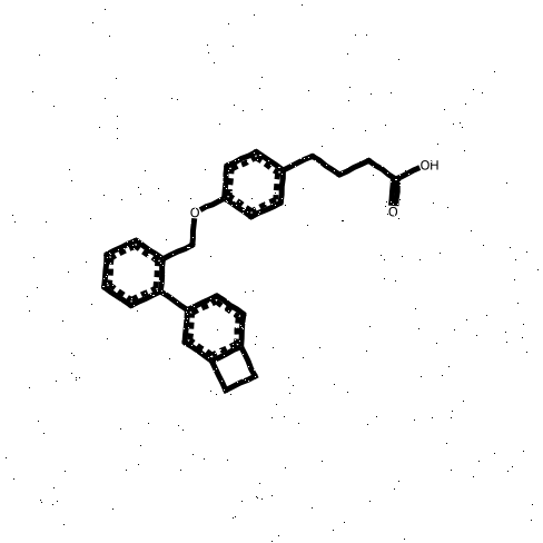 O=C(O)CCCc1ccc(OCc2ccccc2-c2ccc3c(c2)CC3)cc1